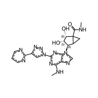 CNC(=O)C12CC1[C@@H](n1cnc3c(NC)nc(-n4cc(-c5ncccn5)nn4)nc31)[C@H](O)[C@@H]2O